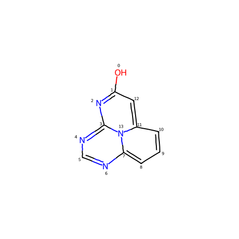 OC1=NC2=NC=NC3=CC=CC(=C1)N32